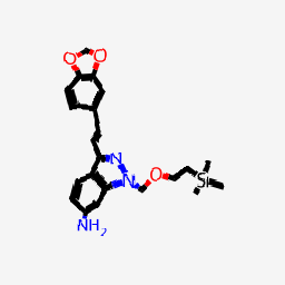 C[Si](C)(C)CCOCn1nc(C=Cc2ccc3c(c2)OCO3)c2ccc(N)cc21